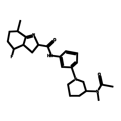 CC(=O)N(C)C1CCCN(c2cccc(NC(=O)C3CC4C(=N3)C(C)CCC4F)c2)C1